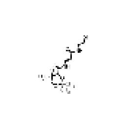 CC1(C)OCC(C)(C)[C@H](C(=O)NC=CC(=O)NCCS)O1